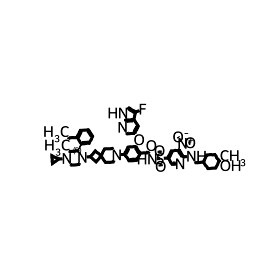 CC(C)c1ccccc1[C@@H]1CN(C2CC2)CCN1C1CC2(CCN(c3ccc(C(=O)NS(=O)(=O)c4cnc(NCC5CCC(C)(O)CC5)c([N+](=O)[O-])c4)c(Oc4cnc5[nH]cc(F)c5c4)c3)CC2)C1